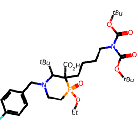 CCOP1(=O)CCN(Cc2ccc(F)cc2)C(C(C)(C)C)C1(CCCCN(C(=O)OC(C)(C)C)C(=O)OC(C)(C)C)C(=O)O